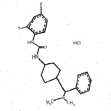 CN(C)C(c1ccccc1)C1CCC(NC(=O)Nc2ccc(F)cc2F)CC1.Cl